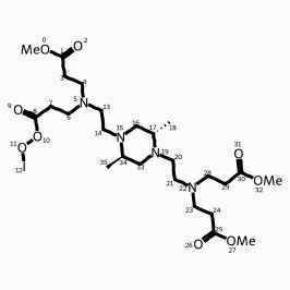 COC(=O)CCN(CCC(=O)OOI)CCN1C[C@H](C)N(CCN(CCC(=O)OC)CCC(=O)OC)C[C@H]1C